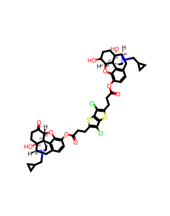 O=C(CCc1sc2c(Cl)c(CCC(=O)Oc3ccc4c5c3O[C@H]3C(O)CC[C@@]6(O)[C@@H](C4)N(CC4CC4)CC[C@]536)sc2c1Cl)Oc1ccc2c3c1O[C@H]1C(=O)CC[C@@]4(O)[C@@H](C2)N(CC2CC2)CC[C@]314